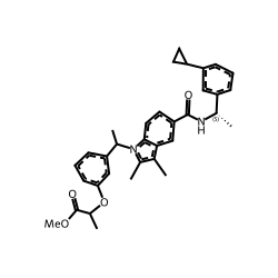 COC(=O)C(C)Oc1cccc(C(C)n2c(C)c(C)c3cc(C(=O)N[C@@H](C)c4cccc(C5CC5)c4)ccc32)c1